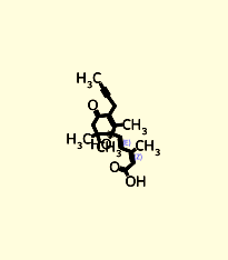 CC#CCC1=C(C)[C@](O)(/C=C/C(C)=C\C(=O)O)C(C)(C)CC1=O